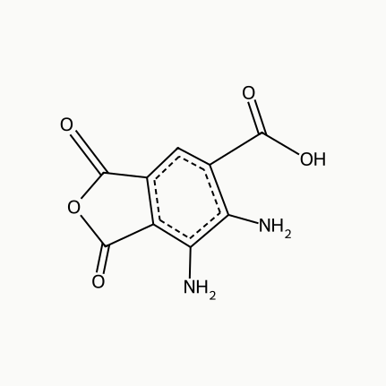 Nc1c(C(=O)O)cc2c(c1N)C(=O)OC2=O